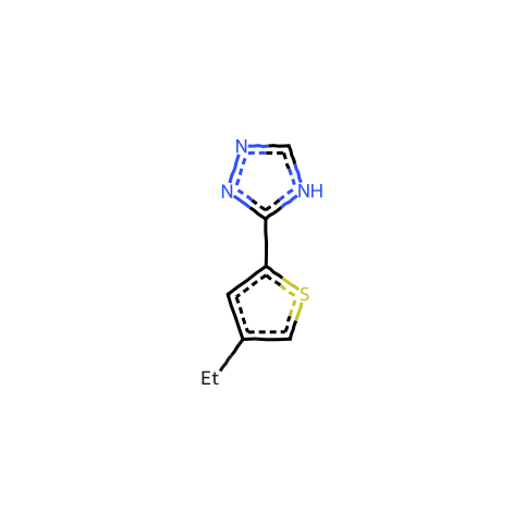 CCc1csc(-c2nnc[nH]2)c1